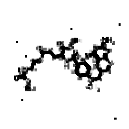 CN(Cc1cnc2nc(N)nc(N)c2n1)c1ccc(C(=O)NC(CCC(=O)OCCNC(=O)OC(C)(C)C)C(=O)OC(C)(C)C)cc1